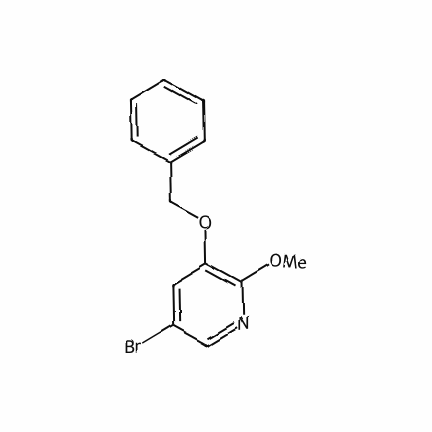 COc1ncc(Br)cc1OCc1ccccc1